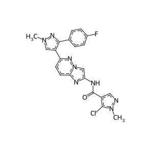 Cn1cc(-c2ccc3nc(NC(=O)c4cnn(C)c4Cl)cn3n2)c(-c2ccc(F)cc2)n1